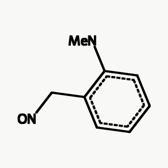 CNc1ccccc1CN=O